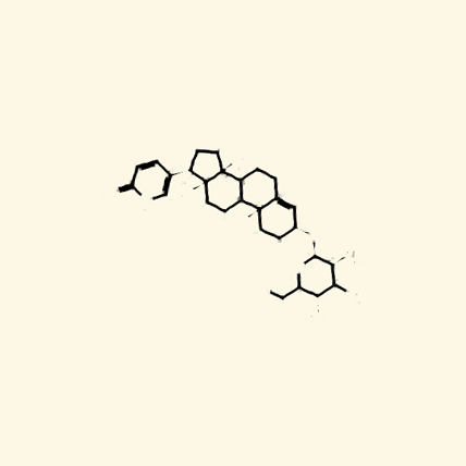 C[C@@H]1C(CO)O[C@@H](O[C@@H]2C=C3CCC4C(CC[C@]5(C)[C@@H](c6ccc(=O)oc6)CC[C@]45O)[C@@]3(C)CC2)[C@@H](N)C1O